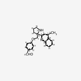 Cc1cc([C@]2(COc3ccc(C=O)cc3)CCCN2)nc2ccccc12